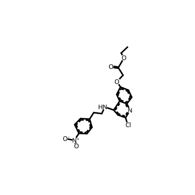 CCOC(=O)COc1ccc2nc(Cl)cc(NCCc3ccc([N+](=O)[O-])cc3)c2c1